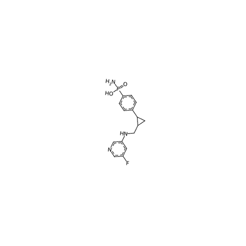 NP(=O)(O)c1ccc(C2CC2CNc2cncc(F)c2)cc1